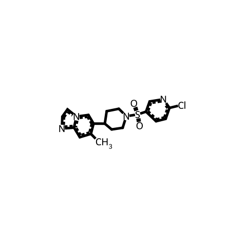 Cc1cc2nccn2cc1C1CCN(S(=O)(=O)c2ccc(Cl)nc2)CC1